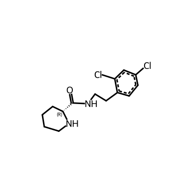 O=C(NCCc1ccc(Cl)cc1Cl)[C@H]1CCCCN1